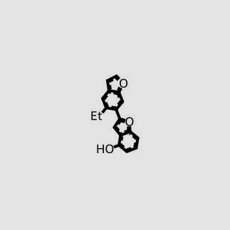 CCc1cc2ccoc2cc1-c1cc2c(O)cccc2o1